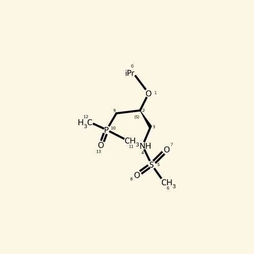 CC(C)O[C@@H](CNS(C)(=O)=O)CP(C)(C)=O